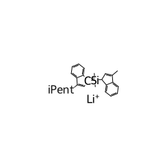 CCCC(C)c1c[c-]([Si](C)(C)C2C=C(C)c3ccccc32)c2ccccc12.[Li+]